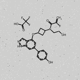 C=C(F)C(=O)N(CCO)C1CC(Oc2cc(-c3ccc(O)cc3)cc3[nH]ncc23)C1.O=C(O)C(F)(F)F